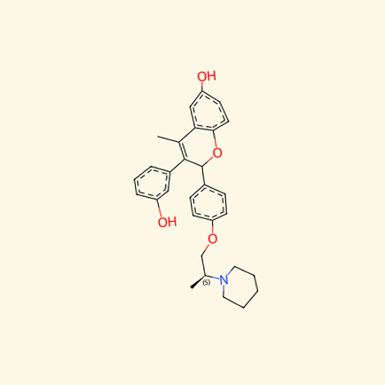 CC1=C(c2cccc(O)c2)C(c2ccc(OC[C@H](C)N3CCCCC3)cc2)Oc2ccc(O)cc21